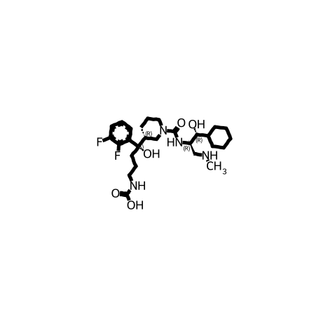 CNC[C@@H](NC(=O)N1CCC[C@@H]([C@@](O)(CCCNC(=O)O)c2cccc(F)c2F)C1)[C@H](O)C1CCCCC1